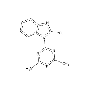 Cc1nc(N)nc(-n2c(Cl)nc3ccccc32)n1